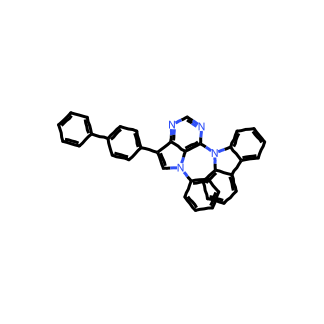 c1ccc(-c2ccc(-c3cn(-c4ccccc4)c4c(-n5c6ccccc6c6ccccc65)ncnc34)cc2)cc1